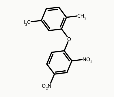 Cc1ccc(C)c(Oc2ccc([N+](=O)[O-])cc2[N+](=O)[O-])c1